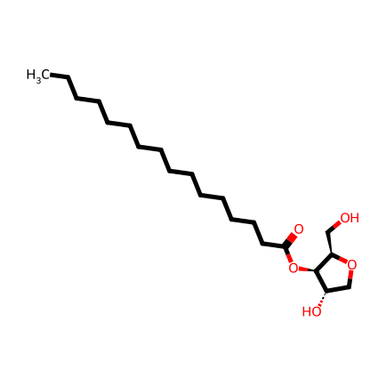 CCCCCCCCCCCCCCCC(=O)O[C@@H]1[C@@H](O)CO[C@@H]1CO